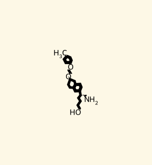 Cc1ccc(OCCO[C@H]2CCc3cc([C@H](CN)CCCCO)ccc3C2)cc1